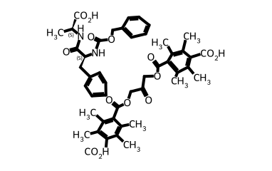 C[C@H](NC(=O)[C@H](Cc1ccccc1)NC(=O)OCc1ccccc1)C(=O)O.Cc1c(C)c(C(=O)OCC(=O)COC(=O)c2c(C)c(C)c(C(=O)O)c(C)c2C)c(C)c(C)c1C(=O)O